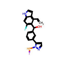 C=Cc1c(C(O)c2cccc(-c3ccnn3PI)c2)c(F)cc2[nH]ccc12